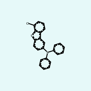 Clc1cccc2c1sc1ccc(N(c3ccccc3)c3ccccc3)cc12